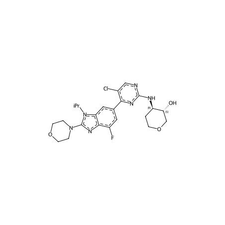 CC(C)n1c(N2CCOCC2)nc2c(F)cc(-c3nc(N[C@@H]4CCOC[C@H]4O)ncc3Cl)cc21